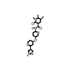 Cc1c(F)cc(C(=O)Nc2ccc(Oc3ccnc(-c4cnn(C)c4)c3)cn2)c(=O)n1C